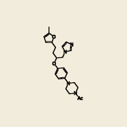 CC(=O)N1CCN(c2ccc(OC(CCc3ccc(C)o3)Cn3ccnc3)cc2)CC1